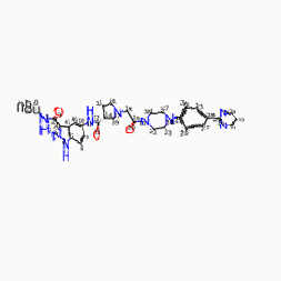 CCCCNC(=O)c1n[nH]c2ccc(NC(=O)[C@@H]3CCN(CC(=O)N4CCN(c5ccc(-c6ncccn6)cc5)CC4)C3)cc12